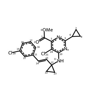 COC(=O)c1nc(C2CC2)nc(NC2(C=Cc3cccc(Cl)c3)CC2)c1Cl